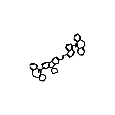 C1=CC2=C(CC1)N(c1ccc3c(c1)C1(CCCC1)C1CC(/C=C/c4cccc5c(N6c7ccccc7CCc7ccccc76)cccc45)=CC=C31)c1ccccc1CC2